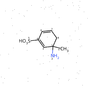 CC1(N)C=C(S(=O)(=O)O)C=[C]C1